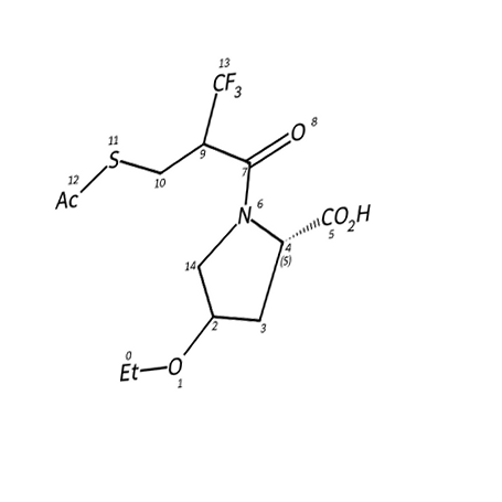 CCOC1C[C@@H](C(=O)O)N(C(=O)C(CSC(C)=O)C(F)(F)F)C1